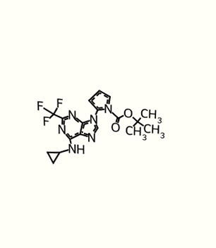 CC(C)(C)OC(=O)n1cccc1-n1cnc2c(NC3CC3)nc(C(F)(F)F)nc21